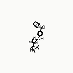 Cc1ncc(-c2nc(Nc3ccc(C(=O)N4CC5CCC(C4)O5)cc3)ncc2F)n1C(C)C